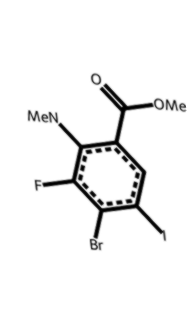 CNc1c(C(=O)OC)cc(I)c(Br)c1F